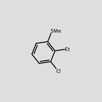 CCc1c(Cl)cccc1SC